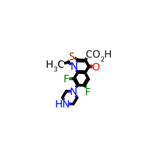 CC1Sc2c(C(=O)O)c(=O)c3cc(F)c(N4CCNCC4)c(F)c3n21